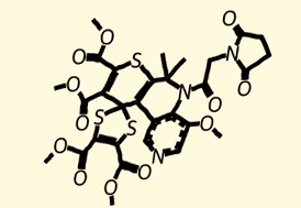 COC(=O)C1=C(C(=O)OC)SC2(S1)C(C(=O)OC)=C(C(=O)OC)SC1=C2c2cncc(OC)c2N(C(=O)CN2C(=O)CCC2=O)C1(C)C